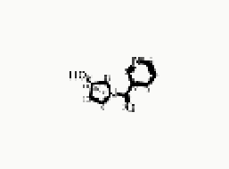 O=C(c1cc[c]nc1)N1CC[C@@H](O)C1